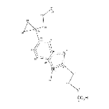 Cn1c(CCCC(=O)O)nc2cc([N+]3(CCCl)CC3)ccc21